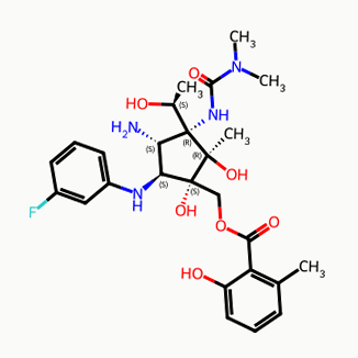 Cc1cccc(O)c1C(=O)OC[C@@]1(O)[C@@H](Nc2cccc(F)c2)[C@H](N)[C@@](NC(=O)N(C)C)([C@H](C)O)[C@@]1(C)O